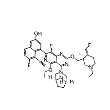 C#Cc1c(F)ccc2cc(O)cc(-c3nc(OCC)c4c(N5C[C@H]6CC[C@@H](C5)N6)nc(OC[C@]5(C)CN(CC)CC/C5=C\F)nc4c3F)c12